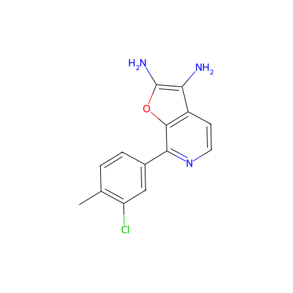 Cc1ccc(-c2nccc3c(N)c(N)oc23)cc1Cl